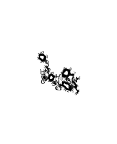 CCN(CCN(C)Cc1ccccc1Br)c1ccc(C(=O)NSc2ccc(NCCSc3ccccc3)c([N+](=O)[O-])c2)cc1